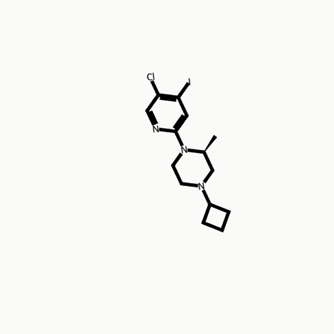 C[C@H]1CN(C2CCC2)CCN1c1cc(I)c(Cl)cn1